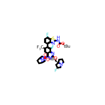 CC(C)(C)OC(=O)Nc1nc2c(-c3c(C(F)(F)F)cc4c(N5CC6CCC(C5)N6C(=O)OC(C)(C)C)nc(OC[C@@]56CCCN5C[C@H](F)C6)nc4c3F)ccc(F)c2s1